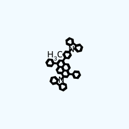 Cc1cc(-n2c3ccccc3c3ccccc32)ccc1-c1cc(-c2ccccc2)c2ccc3c(-n4c5ccccc5c5ccccc54)cc(-c4ccccc4)c4ccc1c2c43